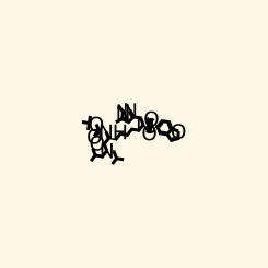 Cc1cc(CN(CCCCC[C@H](NC(=O)OC(C)(C)C)C(=O)N(CC(C)C)CC(C)C)S(=O)(=O)c2ccc3occc3c2)nn1C